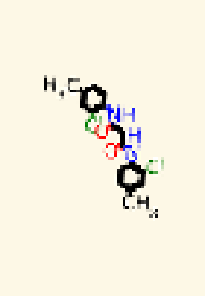 Cc1ccc(NC(=O)CC(=O)Nc2ccc(C)cc2Cl)c(Cl)c1